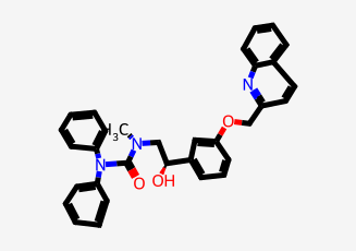 CN(C[C@H](O)c1cccc(OCc2ccc3ccccc3n2)c1)C(=O)N(c1ccccc1)c1ccccc1